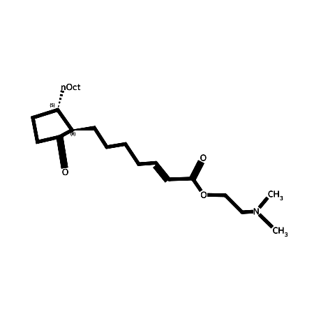 CCCCCCCC[C@H]1CCC(=O)[C@@H]1CCCCC=CC(=O)OCCN(C)C